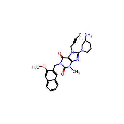 CC#CCn1c(N2CCCC(N)C2)nc2c1c(=O)n(Cc1cc3ccccc3cc1OC)c(=O)n2C